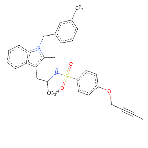 CC#CCOc1ccc(S(=O)(=O)NC(Cc2c(C)n(Cc3cccc(C(F)(F)F)c3)c3ccccc23)C(=O)O)cc1